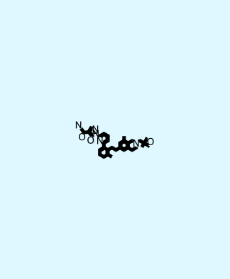 COc1c(C(=O)C#N)cnn1-c1cccc(C2=CCCC(C)=C2CCc2cc(C)c3c(c2)CCN(CC2(C)COC2)C3)n1